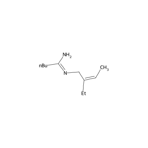 C/C=C(/CC)C/N=C(\N)CCCC